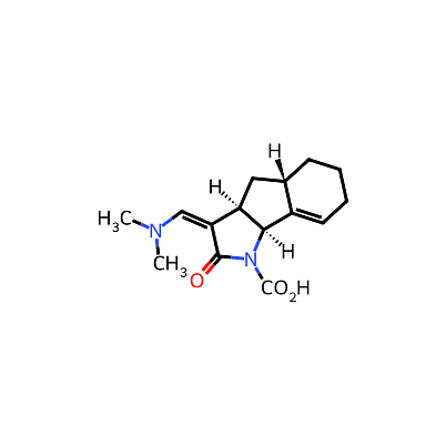 CN(C)C=C1C(=O)N(C(=O)O)[C@@H]2C3=CCCC[C@H]3C[C@H]12